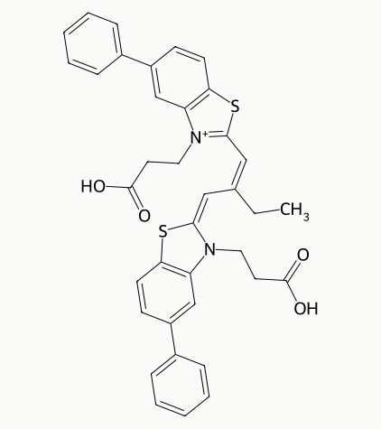 CCC(=Cc1sc2ccc(-c3ccccc3)cc2[n+]1CCC(=O)O)C=C1Sc2ccc(-c3ccccc3)cc2N1CCC(=O)O